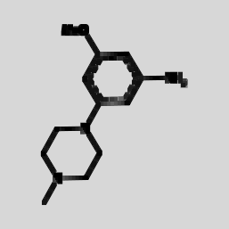 COc1cc(N)cc(N2CCN(C)CC2)c1